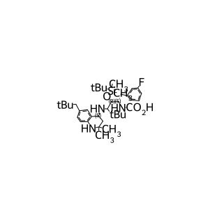 CC(C)(C)Cc1ccc2c(c1)[C@@H](NC([C@H](O[Si](C)(C)C(C)(C)C)[C@H](Cc1cccc(F)c1)NC(=O)O)C(C)(C)C)CC(C)(C)N2